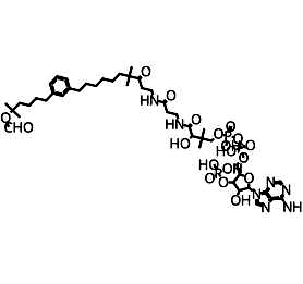 CC(C)(CCCCc1cccc(CCCCCCC(C)(C)C(=O)CCNC(=O)CCNC(=O)C(O)C(C)(C)COP(=O)(O)OP(=O)(O)OCC2OC(n3cnc4c(N)ncnc43)C(O)C2OP(=O)(O)O)c1)OC=O